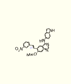 COc1cc2ncnc(Nc3ccc4[nH]ccc4c3)c2cc1/C=C/c1cccc([N+](=O)[O-])c1